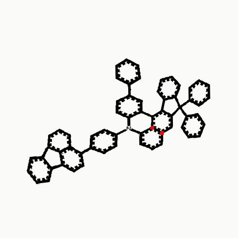 c1ccc(-c2ccc(N(c3ccccc3)c3ccc(-c4ccc5c6c(cccc46)-c4ccccc4-5)cc3)c(-c3cccc4c3-c3ccccc3C4(c3ccccc3)c3ccccc3)c2)cc1